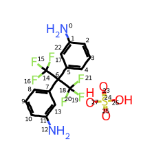 Nc1cccc(C(c2cccc(N)c2)(C(F)(F)F)C(F)(F)F)c1.O=S(=O)(O)O